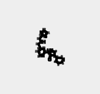 O=c1c(-c2cccnc2)c[nH]n1-c1cc(CNCc2nccs2)ccn1